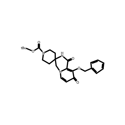 CC(C)(C)OC(=O)N1CCC2(CC1)Cn1ccc(=O)c(OCc3ccccc3)c1C(=O)N2